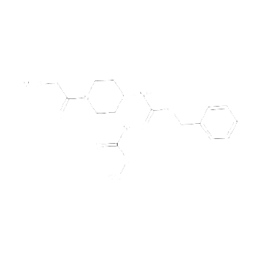 COCC(=O)N1CC[C@H](NC(=O)OCc2ccccc2)[C@H](NC(=O)OC(C)(C)C)C1